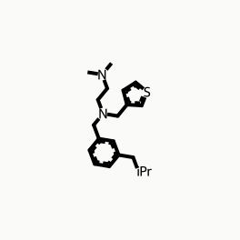 CC(C)Cc1cccc(CN(CCN(C)C)Cc2ccsc2)c1